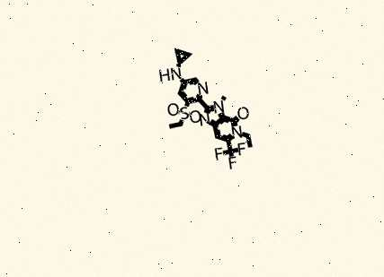 CCn1c(C(F)(F)F)cc2nc(-c3ncc(NC4CC4)cc3S(=O)(=O)CC)n(C)c2c1=O